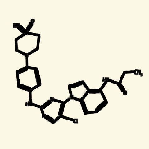 CCC(=O)Nc1cccc2c1ccn2-c1nc(Nc2ccc(N3CCS(=N)(=O)CC3)cc2)ncc1Cl